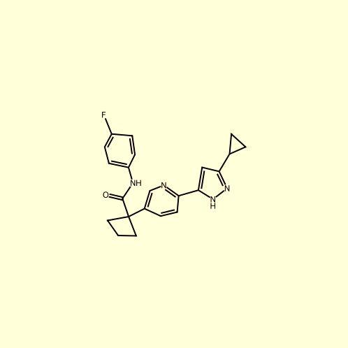 O=C(Nc1ccc(F)cc1)C1(c2ccc(-c3cc(C4CC4)n[nH]3)nc2)CCC1